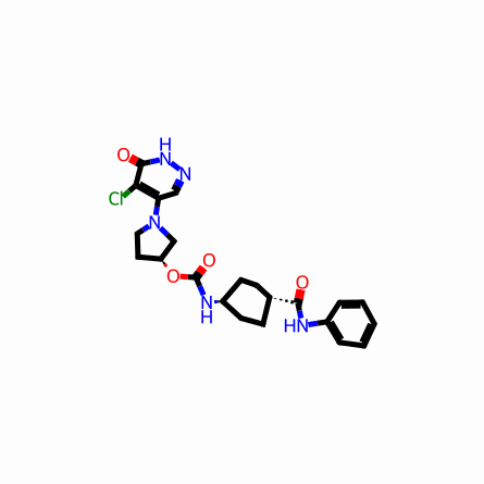 O=C(N[C@H]1CC[C@@H](C(=O)Nc2ccccc2)CC1)O[C@@H]1CCN(c2cn[nH]c(=O)c2Cl)C1